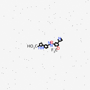 O=C(O)CC1CCc2c1[nH]c1ccc(-c3noc(-c4cc(OC(F)(F)F)cc(-c5cccnc5)c4)n3)cc21